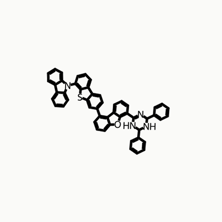 c1ccc(C2N=C(c3cccc4c3oc3cccc(-c5ccc6c(c5)sc5c(-n7c8ccccc8c8ccccc87)cccc56)c34)NC(c3ccccc3)N2)cc1